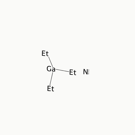 C[CH2][Ga]([CH2]C)[CH2]C.[N]